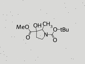 COC(=O)C1(O)CCN(C(=O)OC(C)(C)C)C1C